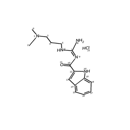 CN(C)CCCNC(N)=NC(=O)c1cc2ccccc2[nH]1.Cl